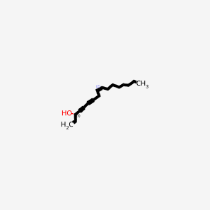 C=C[C@H](O)C#CC#CC/C=C\CCCCCCC